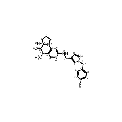 CN1C(=O)[C@@H]2CCCN2c2cc(NCc3cnn(Cc4ccc(F)cc4)c3)ncc21